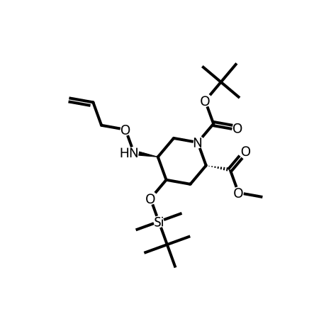 C=CCON[C@H]1CN(C(=O)OC(C)(C)C)[C@H](C(=O)OC)CC1O[Si](C)(C)C(C)(C)C